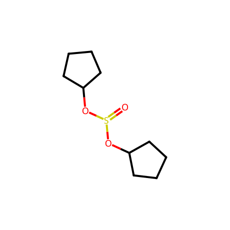 O=S(OC1CCCC1)OC1CCCC1